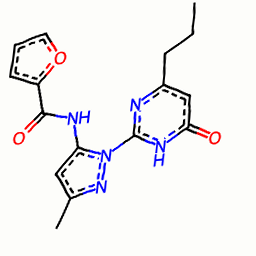 CCCc1cc(=O)[nH]c(-n2nc(C)cc2NC(=O)c2ccco2)n1